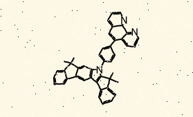 CC1(C)c2ccccc2-c2cc3c4c(n(-c5ccc(-c6cc7cccnc7c7ncccc67)cc5)c3cc21)C(C)(C)c1ccccc1-4